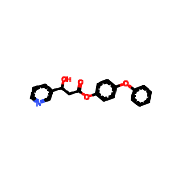 O=C(CC(O)c1cccnc1)Oc1ccc(Oc2ccccc2)cc1